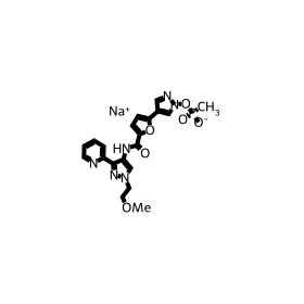 COCCn1cc(NC(=O)c2ccc(-c3cnn(OP(C)(=O)[O-])c3)o2)c(-c2ccccn2)n1.[Na+]